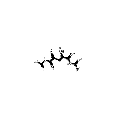 CC(=O)C(=O)OC(=O)C(=O)CC(O)C(=O)OC(=O)C(C)=O